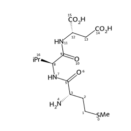 CSCC[C@H](N)C(=O)N[C@H](C(=O)N[C@@H](CC(=O)O)C(=O)O)C(C)C